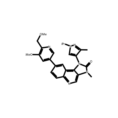 COCc1ncc(-c2ccc3ncc4c(c3c2)n(-c2cn(C(C)C)nc2C)c(=O)n4C)cc1OC